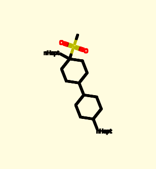 CCCCCCCC1CCC(C2CCC(CCCCCCC)(S(C)(=O)=O)CC2)CC1